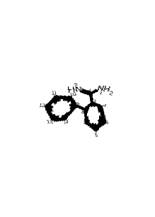 N=C(N)c1ccccc1-c1ccccc1